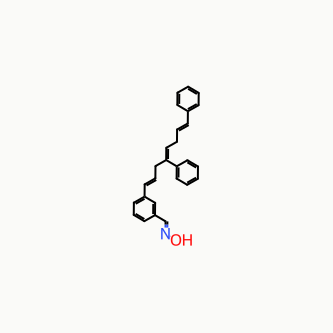 ON=Cc1cccc(/C=C/CC(=CC/C=C/c2ccccc2)c2ccccc2)c1